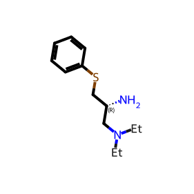 CCN(CC)C[C@@H](N)CSc1ccccc1